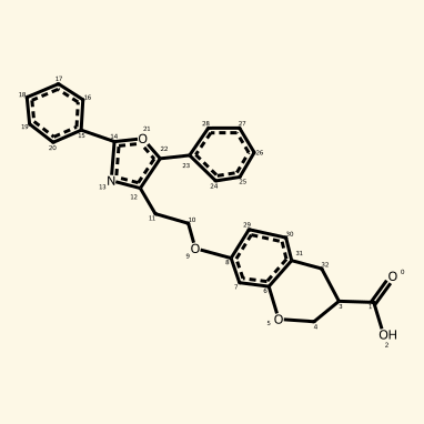 O=C(O)C1COc2cc(OCCc3nc(-c4ccccc4)oc3-c3ccccc3)ccc2C1